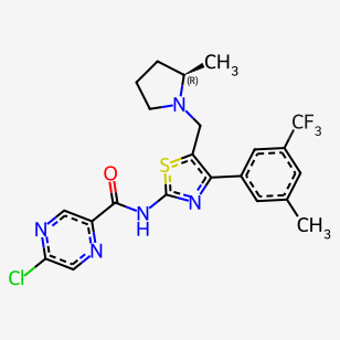 Cc1cc(-c2nc(NC(=O)c3cnc(Cl)cn3)sc2CN2CCC[C@H]2C)cc(C(F)(F)F)c1